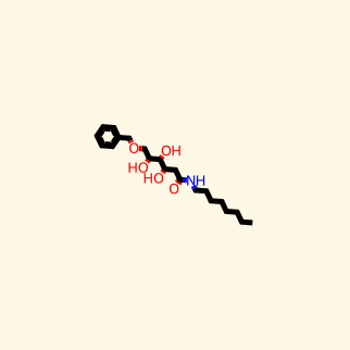 CCCCCCCCNC(=O)CC(O)C(O)C(O)COCc1ccccc1